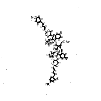 CC(=O)OCC1CC1(C(=O)O[C@@](Cn1cncn1)(c1ccc(F)cc1F)[C@@H](C)S[C@H]1CO[C@H](/C=C/C=C/c2ccc(C#N)cc2F)OC1)C(=O)O[C@@](Cn1cncn1)(c1ccc(F)cc1F)[C@@H](C)S[C@H]1CO[C@H](/C=C/C=C/c2ccc(C#N)cc2F)OC1